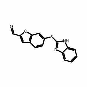 O=Cc1cc2ccc(Sc3nc4ccccc4[nH]3)cc2o1